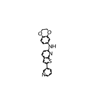 c1cncc(-c2cc3ccc(Nc4ccc5c(c4)OCCO5)nc3s2)c1